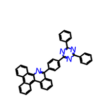 c1ccc(-c2nc(-c3ccccc3)nc(-c3ccc(-c4nc5c6ccccc6c6ccccc6c5c5ccccc45)cc3)n2)cc1